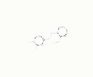 FC(F)(F)c1ccc(N2CCc3c(Cl)cccc3C2)cc1Cl